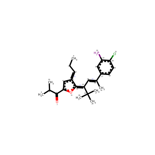 CC\C=c1/cc(C(=O)C(C)C)o/c1=C(/C=C(\C)c1ccc(Cl)c(P)c1)C(C)(C)C